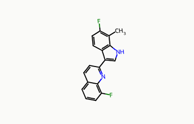 Cc1c(F)ccc2c(-c3ccc4cccc(F)c4n3)c[nH]c12